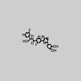 Nc1ncc([C@@H]2CC[C@@H](O)[C@H](O)C2)nc1-c1ccc(C(=O)NC(CO)c2cc(F)cc(I)c2)c(F)c1